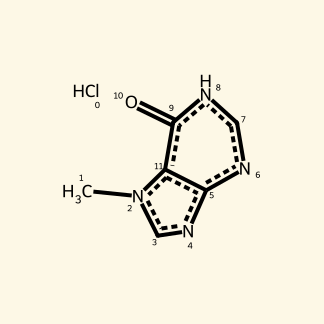 Cl.Cn1cnc2nc[nH]c(=O)c21